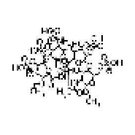 CCOC1OC(COS(=O)(=O)O)C(OC2OC(C(=O)O)C(OC3OC(CO)C(OC4OC(C(=O)O)C(OCC)C(O)C4OS(=O)(=O)O)C(OS(=O)(=O)O)C3NS(=O)(=O)O)C(O)C2OS(=O)(=O)O)C(O)C1NC(C)=O